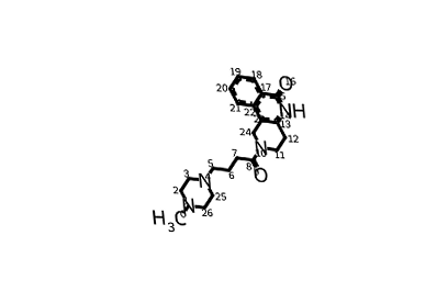 CN1CCN(CCCC(=O)N2CCc3[nH]c(=O)c4ccccc4c3C2)CC1